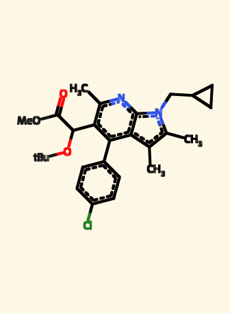 COC(=O)C(OC(C)(C)C)c1c(C)nc2c(c(C)c(C)n2CC2CC2)c1-c1ccc(Cl)cc1